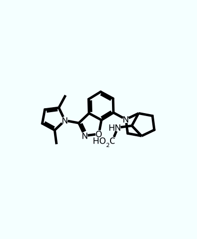 Cc1ccc(C)n1-c1noc2c(N3CC4CCC3C4NC(=O)O)cccc12